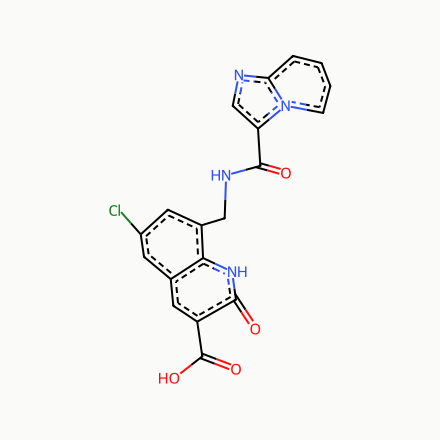 O=C(O)c1cc2cc(Cl)cc(CNC(=O)c3cnc4ccccn34)c2[nH]c1=O